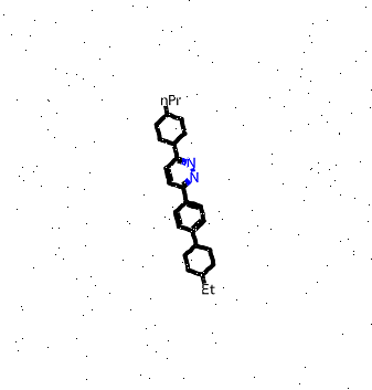 CCCC1CCC(c2ccc(-c3ccc(C4CCC(CC)CC4)cc3)nn2)CC1